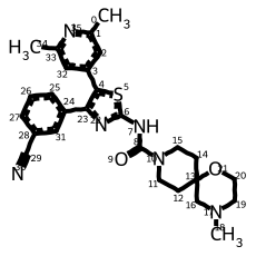 Cc1cc(-c2sc(NC(=O)N3CCC4(CC3)CN(C)CCO4)nc2-c2cccc(C#N)c2)cc(C)n1